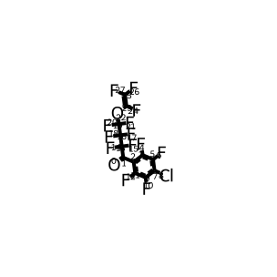 O=C(c1c(F)c(F)c(Cl)c(F)c1F)C(F)(F)C(F)(F)C(F)(F)OC(F)=C(F)F